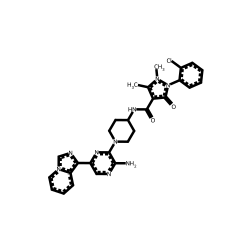 Cc1c(C(=O)NC2CCN(c3nc(-c4ncn5ccccc45)cnc3N)CC2)c(=O)n(-c2ccccc2Cl)n1C